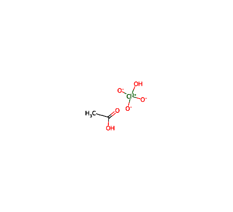 CC(=O)O.[O-][Cl+3]([O-])([O-])O